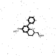 CNC[C@H]1CCc2cc(F)cc(-c3ccccc3)c2O1.Cl